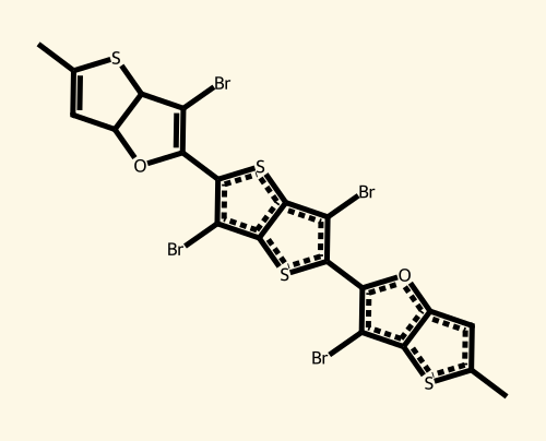 CC1=CC2OC(c3sc4c(Br)c(-c5oc6cc(C)sc6c5Br)sc4c3Br)=C(Br)C2S1